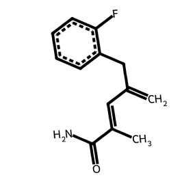 C=C(/C=C(\C)C(N)=O)Cc1ccccc1F